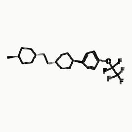 C[C@H]1CC[C@H](CC[C@H]2CC[C@H](c3ccc(OC(F)(F)C(F)(F)F)cc3)CC2)CC1